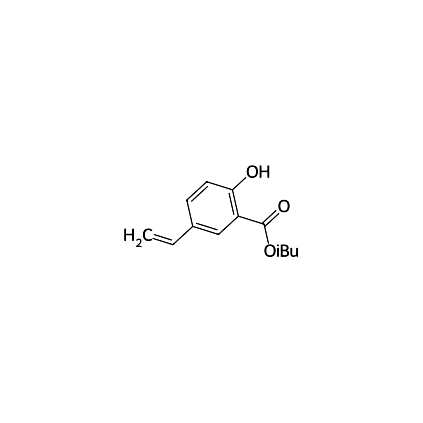 C=Cc1ccc(O)c(C(=O)OCC(C)C)c1